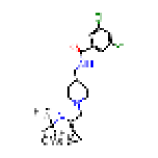 COCC(C)(C)NC(CN1CCC(CNC(=O)c2cc(F)cc(Cl)c2)CC1)=C1CC1